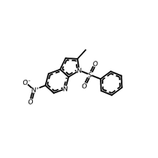 Cc1cc2cc([N+](=O)[O-])cnc2n1S(=O)(=O)c1ccccc1